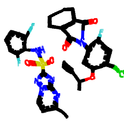 C#CC(C)Oc1cc(N2C(=O)C3=C(CCCC3)C2=O)c(F)cc1Cl.Cc1ccn2nc(S(=O)(=O)Nc3c(F)cccc3F)nc2n1